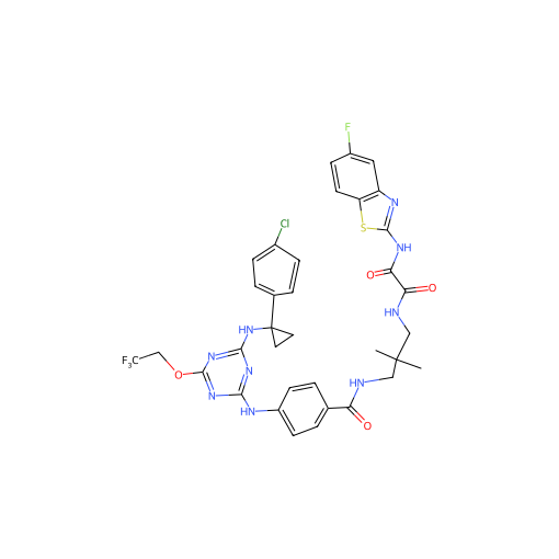 CC(C)(CNC(=O)C(=O)Nc1nc2cc(F)ccc2s1)CNC(=O)c1ccc(Nc2nc(NC3(c4ccc(Cl)cc4)CC3)nc(OCC(F)(F)F)n2)cc1